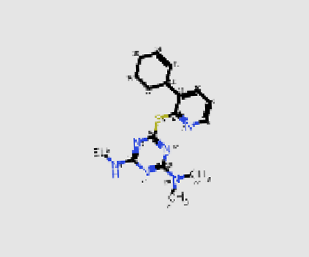 CCNc1nc(Sc2ncccc2C2C=CCCC2)nc(N(C)C)n1